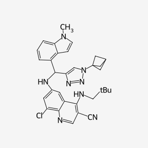 Cn1ccc2c(C(Nc3cc(Cl)c4ncc(C#N)c(NCC(C)(C)C)c4c3)c3cn(C45CC(C4)C5)nn3)cccc21